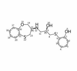 Oc1ccccc1SC[C@H](O)CN[C@@H]1COc2ccccc2SC1